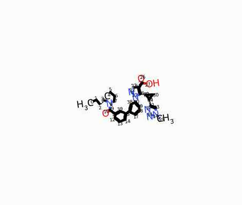 CCC[C@@H]1CCCCN1C(=O)c1cccc(-c2cccc(-n3ncc(C(=O)O)c3[C@@H]3C[C@H]3c3cn(C)nn3)c2)c1